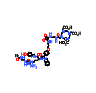 CCC(=O)NCCNC(=O)/N=C(/N)NCCC[C@@H](NC(=O)[C@H](c1ccc(OCCCNc2c(NCCNC(=O)CN3CCN(CC(=O)O)CCN(CC(=O)O)CCN(CC(=O)O)CC3)c(=O)c2=O)cc1)N1Cc2ccccc2C1)C(=O)NCc1ccc(O)cc1